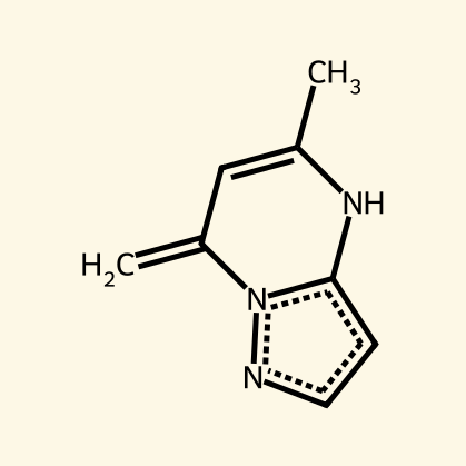 C=C1C=C(C)Nc2ccnn21